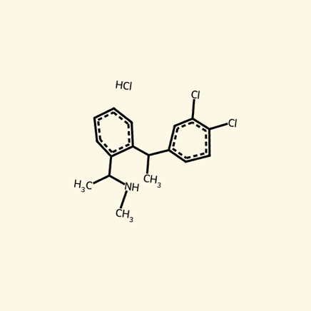 CNC(C)c1ccccc1C(C)c1ccc(Cl)c(Cl)c1.Cl